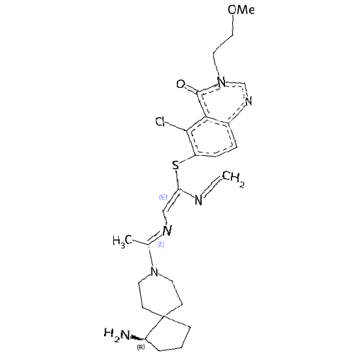 C=N/C(=C\N=C(/C)N1CCC2(CCC[C@H]2N)CC1)Sc1ccc2ncn(CCOC)c(=O)c2c1Cl